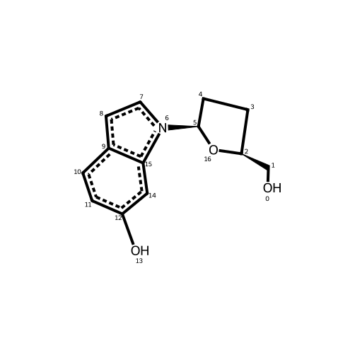 OC[C@@H]1CC[C@H](n2ccc3ccc(O)cc32)O1